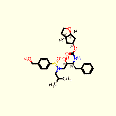 CC(C)CN(C[C@@H](O)[C@H](Cc1ccccc1)NC(=O)O[C@H]1C[C@H]2CCO[C@H]2C1)[S+]([O-])c1ccc(CO)cc1